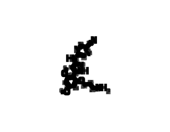 COc1cc(OC)c(-c2cc(Nc3cnc(C#N)cn3)n[nH]2)c(OCCCN)c1